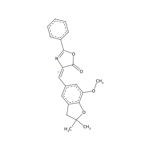 COc1cc(/C=C2/N=C(c3ccccc3)OC2=O)cc2c1OC(C)(C)C2